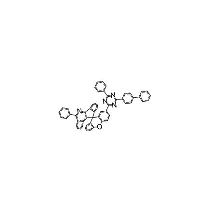 c1ccc(-c2ccc(-c3nc(-c4ccccc4)nc(-c4ccc5c(c4)C4(c6ccccc6O5)c5ccccc5-c5nc(-c6ccccc6)c6ccccc6c54)n3)cc2)cc1